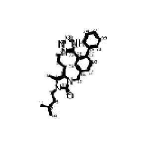 CCCc1c(C)n(CCC(C)C)c(=O)n1Cc1ccc(-c2ccccc2)c(-c2nnn[nH]2)c1